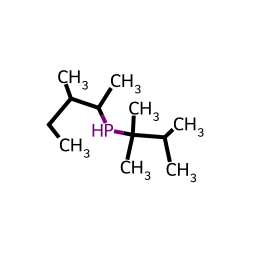 CCC(C)C(C)PC(C)(C)C(C)C